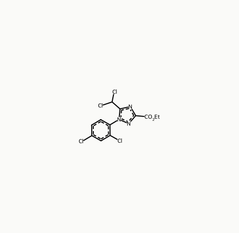 CCOC(=O)c1nc(C(Cl)Cl)n(-c2ccc(Cl)cc2Cl)n1